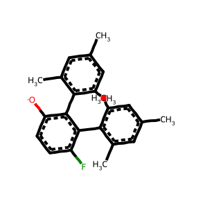 Cc1cc(C)c(-c2c([O])ccc(F)c2-c2c(C)cc(C)cc2C)c(C)c1